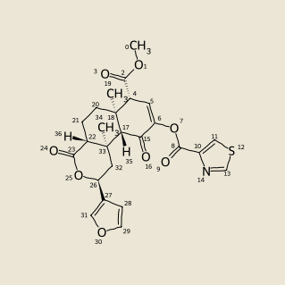 COC(=O)[C@@H]1C=C(OC(=O)c2cscn2)C(=O)[C@H]2[C@@]1(C)CC[C@H]1C(=O)O[C@H](c3ccoc3)C[C@]21C